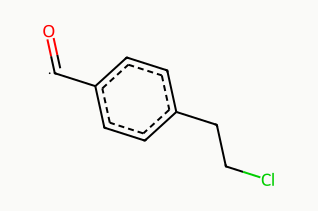 O=[C]c1ccc(CCCl)cc1